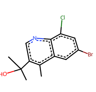 Cc1c(C(C)(C)O)cnc2c(Cl)cc(Br)cc12